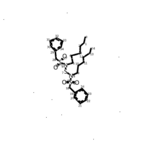 CCCCCCN(SN(CCCCCC)S(=O)(=O)Cc1ccccc1)S(=O)(=O)Cc1ccccc1